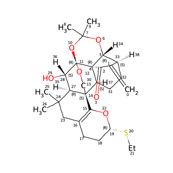 C=C1C(=O)[C@@]23[C@@H]4OC(C)(C)O[C@]25OC[C@]2(C6=C(CC[C@@H](SCC)O6)CC(C)(C)[C@H]2[C@@H]5O)[C@@H]3CC[C@@H]14